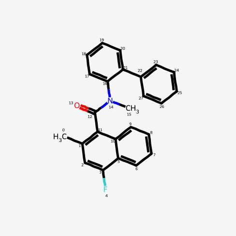 Cc1cc(F)c2ccccc2c1C(=O)N(C)c1ccccc1-c1ccccc1